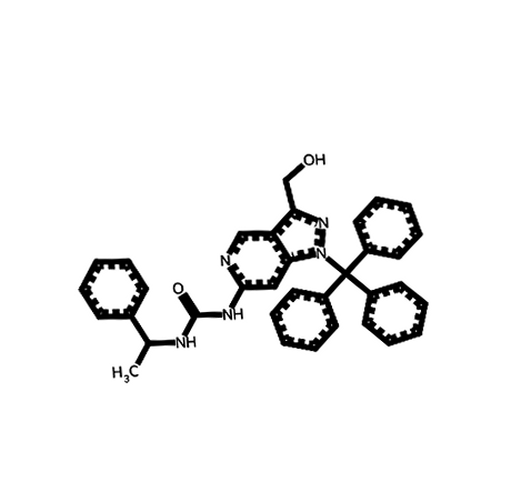 CC(NC(=O)Nc1cc2c(cn1)c(CO)nn2C(c1ccccc1)(c1ccccc1)c1ccccc1)c1ccccc1